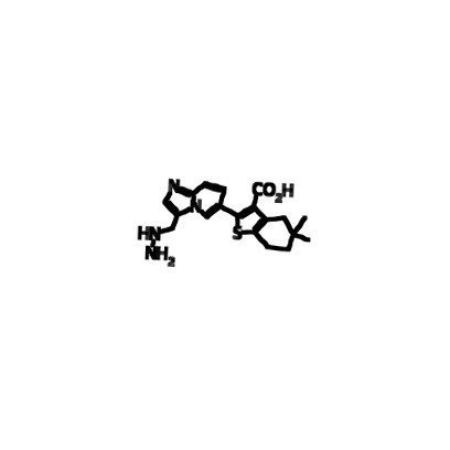 CC1(C)CCc2sc(-c3ccc4ncc(CNN)n4c3)c(C(=O)O)c2C1